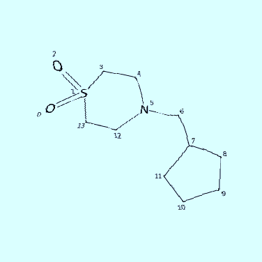 O=S1(=O)CCN(CC2CCCC2)CC1